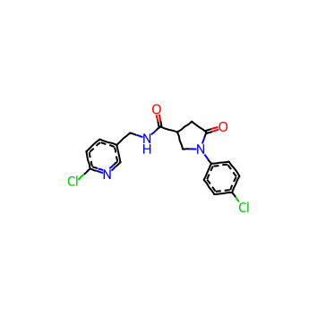 O=C(NCc1ccc(Cl)nc1)C1CC(=O)N(c2ccc(Cl)cc2)C1